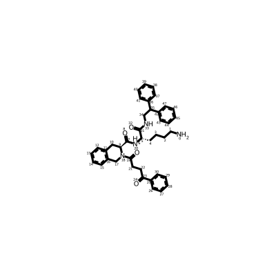 NCCCC[C@H](NC(=O)[C@@H]1Cc2ccccc2CN1C(=O)CCC(=O)c1ccccc1)C(=O)NCC(c1ccccc1)c1ccccc1